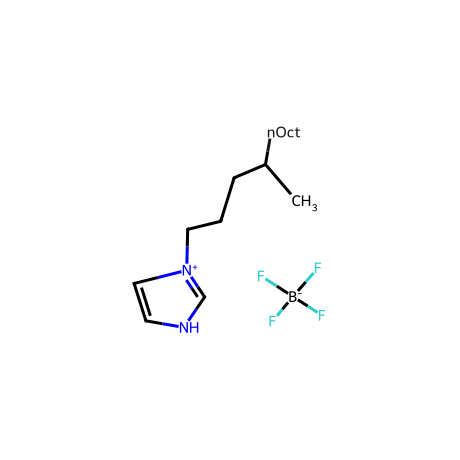 CCCCCCCCC(C)CCC[n+]1cc[nH]c1.F[B-](F)(F)F